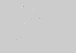 O=C(c1ccnn1C(F)F)N1CCc2[nH]cnc2[C@@H]1c1cc2ccc(C(F)(F)F)cn2n1